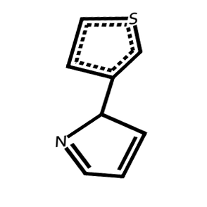 C1=CC(c2ccsc2)N=C1